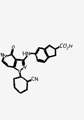 N#CC1CCCCC1n1nc(Nc2ccc3c(c2)CC(C(=O)O)C3)c2c(=O)[nH]ccc21